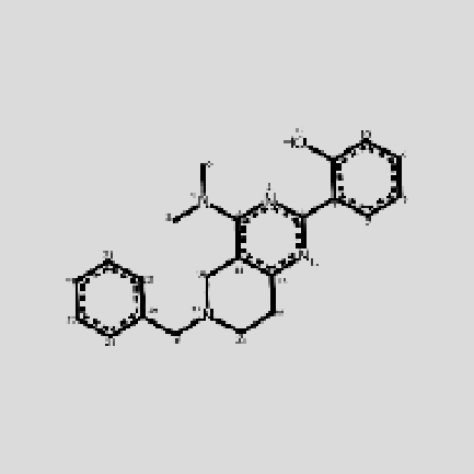 CN(C)c1nc(-c2ccccc2O)nc2c1CN(Cc1ccccc1)CC2